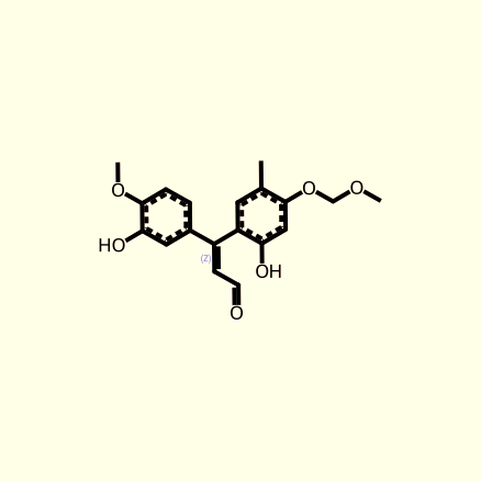 COCOc1cc(O)c(/C(=C\C=O)c2ccc(OC)c(O)c2)cc1C